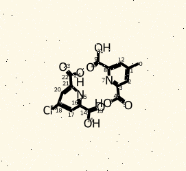 Cc1cc(C(=O)O)nc(C(=O)O)c1.O=C(O)c1cc(Cl)cc(C(=O)O)n1